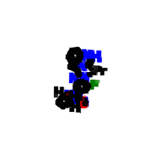 CC(C)[C@@H]1CNc2cccc3cc(-c4nc5cc(C(=O)N6C[C@H]7CC[C@@H]6[C@@H]7N)cc(F)c5n4C)n1c23